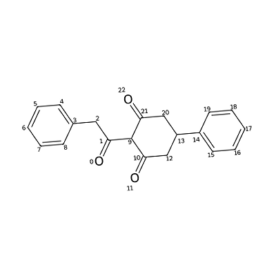 O=C(Cc1ccccc1)C1C(=O)CC(c2ccccc2)CC1=O